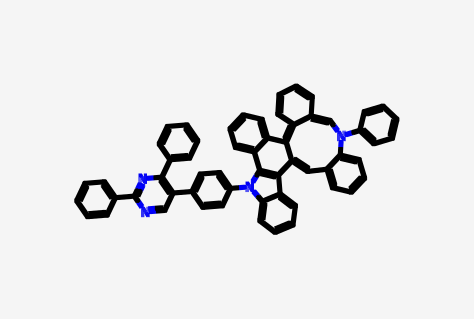 c1ccc(-c2ncc(-c3ccc(-n4c5ccccc5c5c6cc7ccccc7n(-c7ccccc7)cc7ccccc7c6c6ccccc6c54)cc3)c(-c3ccccc3)n2)cc1